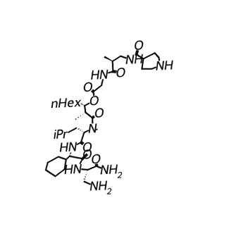 CCCCCC[C@H](OC(=O)CNC(=O)[C@@H](C)CNC(=O)C1CCNCC1)[C@@H](C)C(=O)N(C)[C@@H](CC(C)C)C(=O)N[C@H](C(=O)N[C@@H](CN)C(N)=O)C1CCCCC1